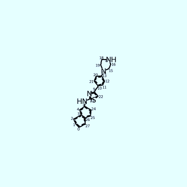 c1ccc2cc(Nc3nc(-c4ccc(N5CCNCC5)cc4)cs3)ccc2c1